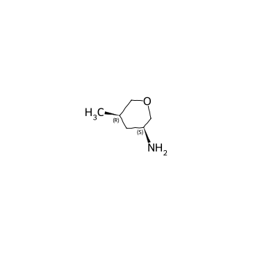 C[C@H]1COC[C@@H](N)C1